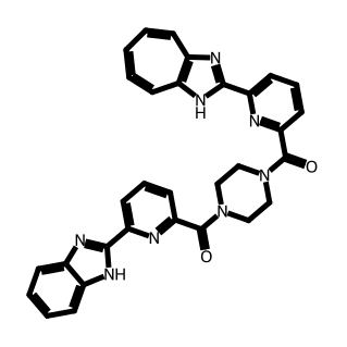 O=C(c1cccc(-c2nc3c([nH]2)C=C=CC=C3)n1)N1CCN(C(=O)c2cccc(-c3nc4ccccc4[nH]3)n2)CC1